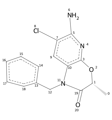 C[C@H]1Oc2nc(N)c(Cl)cc2N(Cc2ccccc2)C1=O